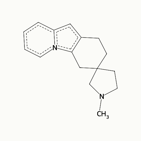 CN1CCC2(CCc3cc4ccccn4c3C2)C1